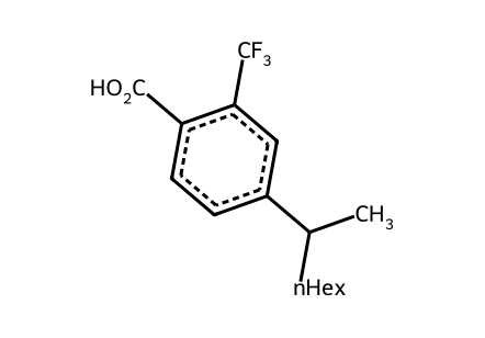 CCCCCCC(C)c1ccc(C(=O)O)c(C(F)(F)F)c1